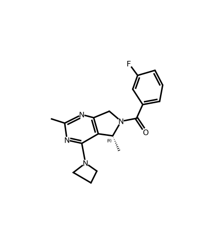 Cc1nc2c(c(N3CCC3)n1)[C@@H](C)N(C(=O)c1cccc(F)c1)C2